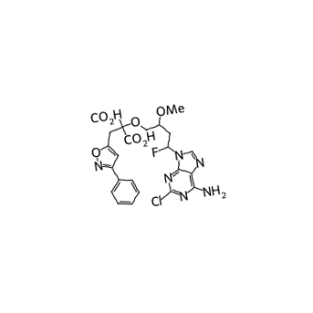 COC(COC(Cc1cc(-c2ccccc2)no1)(C(=O)O)C(=O)O)CC(F)n1cnc2c(N)nc(Cl)nc21